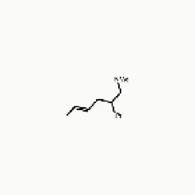 CC=CCC(CNC)C(C)C